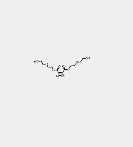 CCO.O=C(/C=C\C(=O)OCCOCCO)OCCOCCO